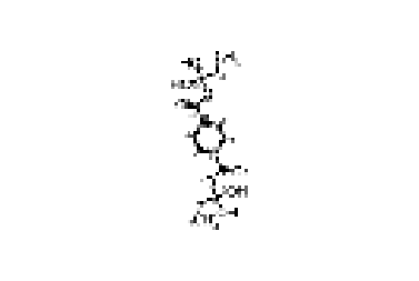 CCC(O)(O)OC(=O)c1ccc(C(=O)OC(O)(O)CC)cc1